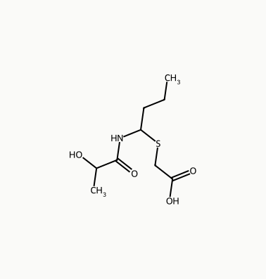 CCCC(NC(=O)C(C)O)SCC(=O)O